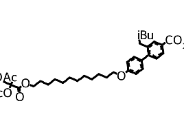 CCC(C)Cc1cc(C(=O)O)ccc1-c1ccc(OCCCCCCCCCCCCOC(=O)C(C)(OC(C)=O)OC(C)=O)cc1